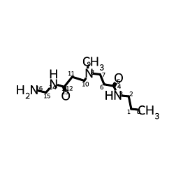 CCCNC(=O)CCN(C)CCC(=O)NCN